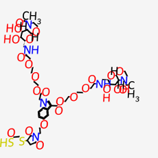 CC(=O)N1CCO[C@@H]2O[C@H](CNC(=O)COCCOCCOC(=O)Cn3cc(C(=O)OCCOCCOCC(=O)NC[C@H]4O[C@H]5OCCN(C(C)=O)[C@H]5[C@@H](O)[C@H]4O)c4cc(OCCN5C(=O)CC(SCC(=O)S)C5=O)ccc43)[C@H](O)[C@H](O)[C@@H]21